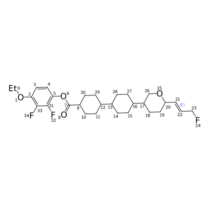 CCOc1ccc(OC(=O)C2CCC(C3CCC(C4CCC(/C=C/CF)OC4)CC3)CC2)c(F)c1F